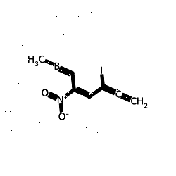 C=C=C(I)/C=C(\C=B/C)[N+](=O)[O-]